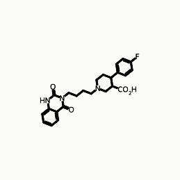 O=C(O)C1CN(CCCCn2c(=O)[nH]c3ccccc3c2=O)CCC1c1ccc(F)cc1